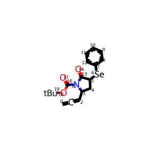 C=C=CC1CC([Se]c2ccccc2)C(=O)N1C(=O)OC(C)(C)C